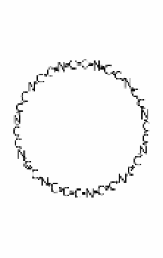 c1cnccnccnccnccnccnccnccnccnccnccnc1